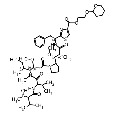 CC[C@H](C)[C@@H]([C@@H](CC(=O)N1CCCC1[C@H](OC)[C@@H](C)C(=O)N[C@@H](Cc1ccccc1)c1nc(C(=O)OCCOC2CCCCO2)cs1)OC)N(C)C(=O)C(NC(=O)C(C(C)C)N(C)C)C(C)C